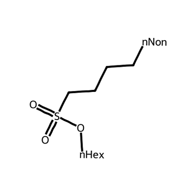 CCCCCCCCCCCCCS(=O)(=O)OCCCCCC